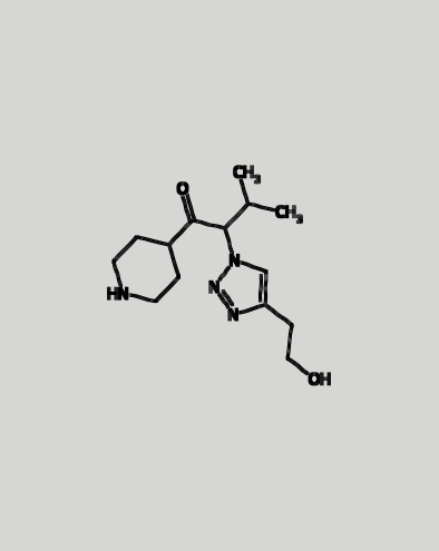 CC(C)C(C(=O)C1CCNCC1)n1cc(CCO)nn1